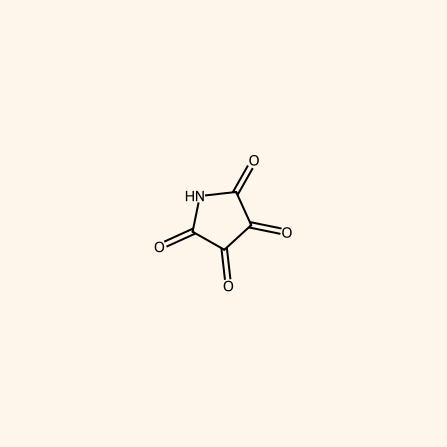 O=c1[nH]c(=O)c(=O)c1=O